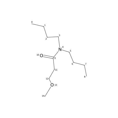 CCCCN(CCCC)C(=O)CCOC